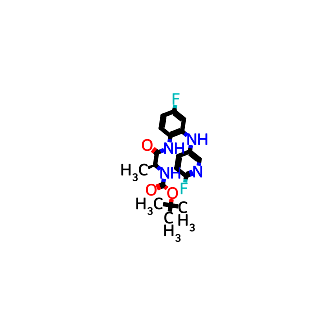 C[C@H](NC(=O)OC(C)(C)C)C(=O)Nc1ccc(F)cc1Nc1ccc(F)nc1